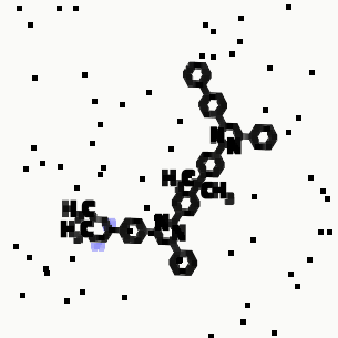 C=C/C=C(\C=C/C)c1ccc(-c2cc(-c3ccccc3)nc(-c3ccc(C(C)(C)c4ccc(-c5nc(-c6ccccc6)cc(-c6ccc(-c7ccccc7)cc6)n5)cc4)cc3)n2)cc1